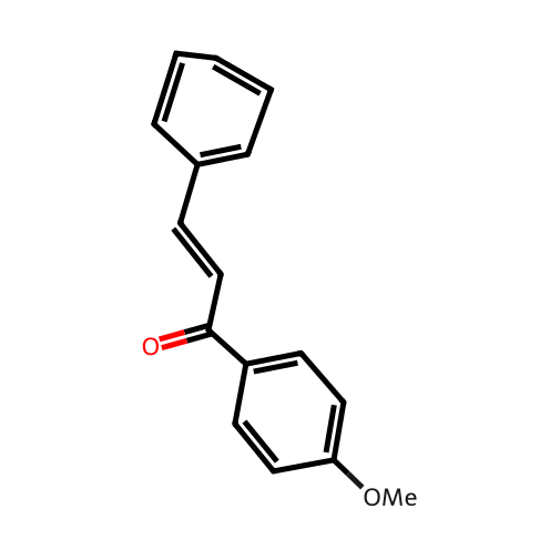 COc1ccc(C(=O)C=Cc2ccccc2)cc1